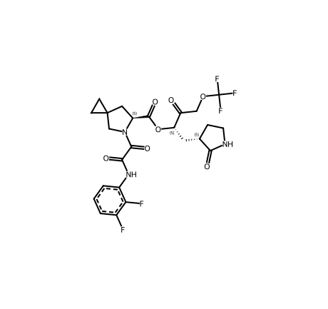 O=C(Nc1cccc(F)c1F)C(=O)N1CC2(CC2)C[C@H]1C(=O)O[C@@H](C[C@@H]1CCNC1=O)C(=O)COC(F)(F)F